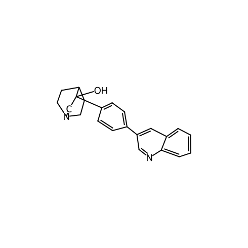 OC1(c2ccc(-c3cnc4ccccc4c3)cc2)CN2CCC1CC2